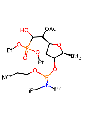 B[C@@H]1O[C@H](C(OC(C)=O)C(O)P(=O)(OCC)OCC)C[C@@H]1OP(OCCC#N)N(C(C)C)C(C)C